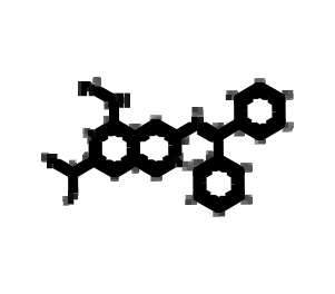 CC(C)Nc1nc(C(F)F)cc2cnc(N=C(c3ccccc3)c3ccccc3)cc12